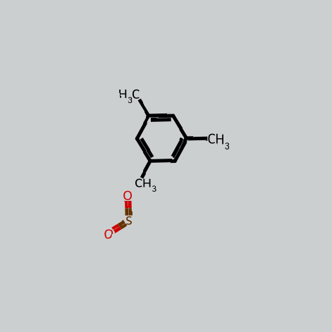 Cc1cc(C)cc(C)c1.O=S=O